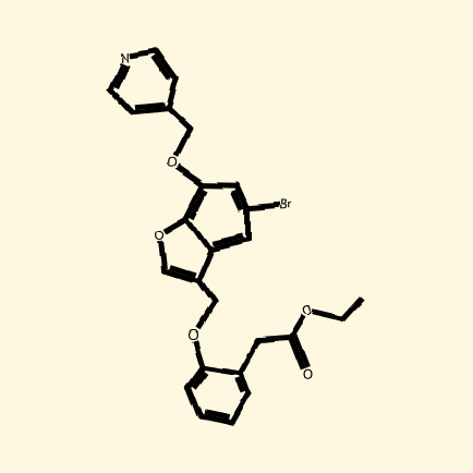 CCOC(=O)Cc1ccccc1OCc1coc2c(OCc3ccncc3)cc(Br)cc12